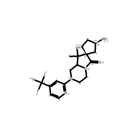 CC1(O)C2CN(c3cc(C(F)(F)F)ccn3)CCN2C(=O)[C@]12CC[C@@H](N)C2